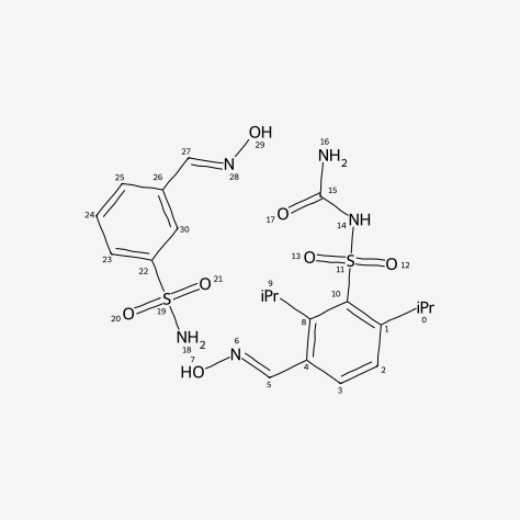 CC(C)c1ccc(C=NO)c(C(C)C)c1S(=O)(=O)NC(N)=O.NS(=O)(=O)c1cccc(C=NO)c1